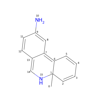 CC12C=CC=CC1=c1cc(N)ccc1=CN2